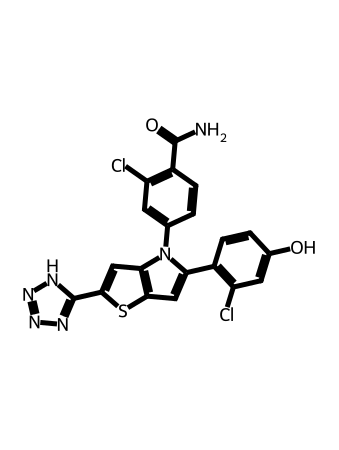 NC(=O)c1ccc(-n2c(-c3ccc(O)cc3Cl)cc3sc(-c4nnn[nH]4)cc32)cc1Cl